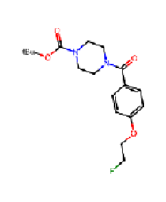 CC(C)(C)OC(=O)N1CCN(C(=O)c2ccc(OCCF)cc2)CC1